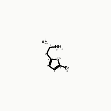 CC(=O)[C@H](N)Cc1ccc(Br)s1